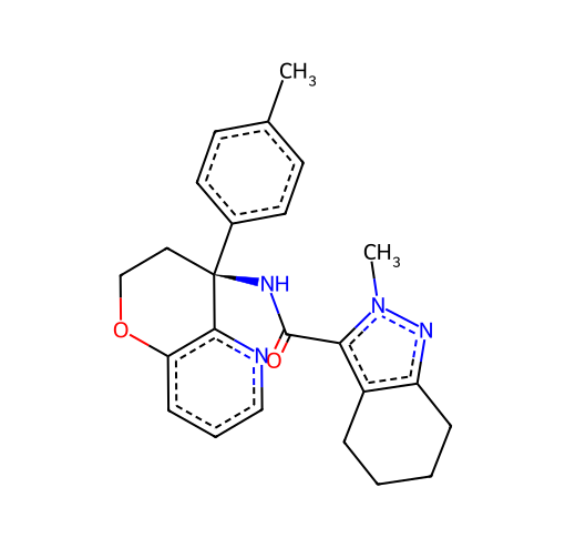 Cc1ccc([C@@]2(NC(=O)c3c4c(nn3C)CCCC4)CCOc3cccnc32)cc1